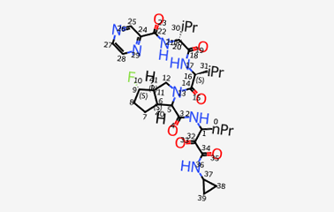 CCCC(NC(=O)C1[C@H]2CC[C@H](F)[C@H]2CN1C(=O)[C@@H](NC(=O)[C@H](NC(=O)c1cnccn1)C(C)C)C(C)C)C(=O)C(=O)NC1CC1